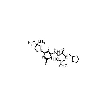 CC1(C)CCN(c2nc(Cl)nc(NNC(=O)[C@H](CC3CCCC3)CN(O)C=O)c2F)C1